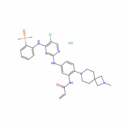 C=CC(=O)Nc1cc(Nc2ncc(Cl)c(Nc3ccccc3P(C)(C)=O)n2)ccc1N1CCC2(CC1)CN(C)C2.Cl